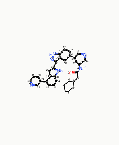 O=C(CC1CCCCC1)Nc1cncc(-c2ccc3[nH]nc(-c4cc5c(-c6cccnc6)cccc5[nH]4)c3c2)c1